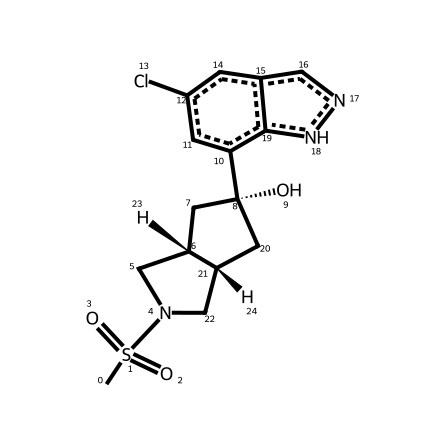 CS(=O)(=O)N1C[C@@H]2C[C@@](O)(c3cc(Cl)cc4cn[nH]c34)C[C@@H]2C1